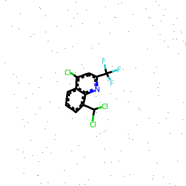 FC(F)(F)c1cc(Cl)c2cccc(C(Cl)Cl)c2n1